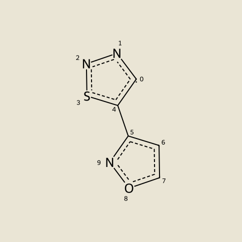 [c]1nnsc1-c1ccon1